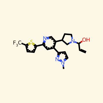 C=CC(O)N1CCC(c2cnc(-c3ccc(C(F)(F)F)s3)cc2-c2ccn(C)n2)C1